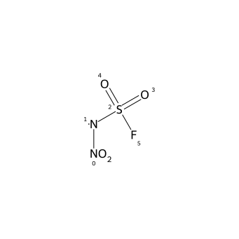 O=[N+]([O-])[N]S(=O)(=O)F